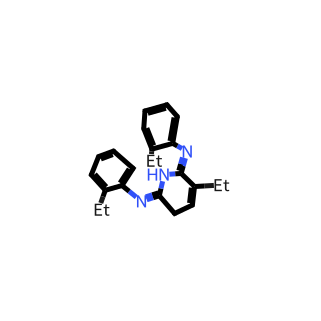 CCC1=CCC(=Nc2ccccc2CC)NC1=Nc1ccccc1CC